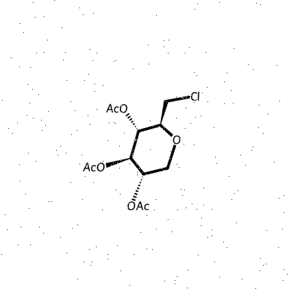 CC(=O)O[C@H]1[C@H](OC(C)=O)[C@@H](CCl)OC[C@@H]1OC(C)=O